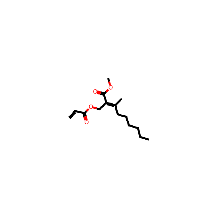 C=CC(=O)OCC(C(=O)OC)=C(C)CCCCCC